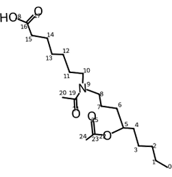 CCCCCC(CCCN(CCCCCCC(=O)O)C(C)=O)OC(C)=O